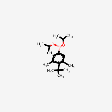 Cc1cc(B(OC(C)C)OC(C)C)cc(C)c1C(C)(C)C